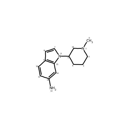 CN1CCCC(n2ccc3ccc(N)cc32)C1